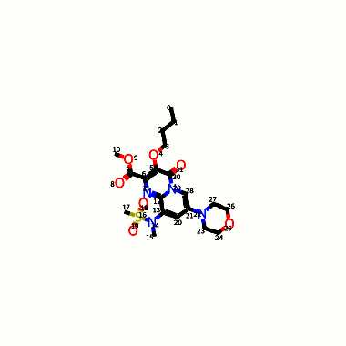 CCCCOc1c(C(=O)OC)nc2c(N(C)S(C)(=O)=O)cc(N3CCOCC3)cn2c1=O